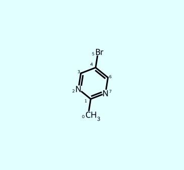 Cc1ncc(Br)cn1